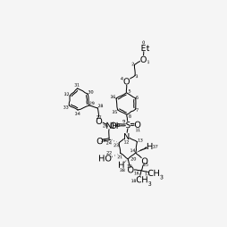 CCOCCOc1ccc(S(=O)(=O)N2C[C@@H]3OC(C)(C)O[C@H]3[C@H](O)[C@@H]2C(=O)NOCc2ccccc2)cc1